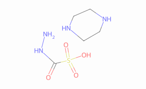 C1CNCCN1.NNC(=O)S(=O)(=O)O